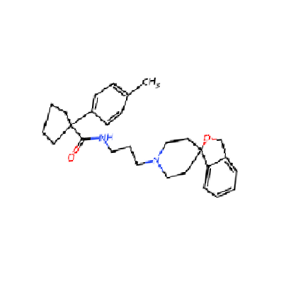 Cc1ccc(C2(C(=O)NCCCN3CCC4(CC3)OCc3ccccc34)CCCC2)cc1